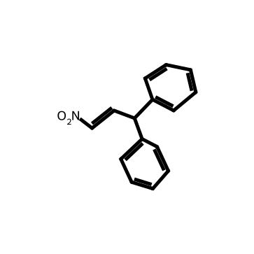 O=[N+]([O-])C=CC(c1ccccc1)c1ccccc1